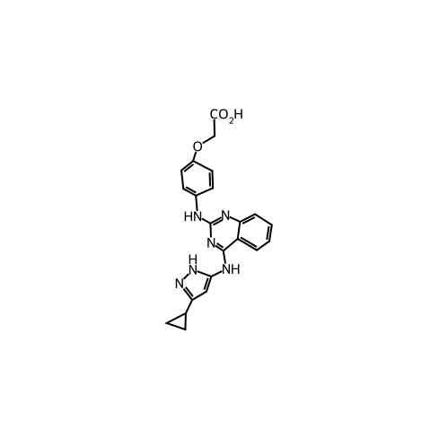 O=C(O)COc1ccc(Nc2nc(Nc3cc(C4CC4)n[nH]3)c3ccccc3n2)cc1